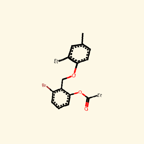 CCC(=O)Oc1cccc(Br)c1COc1ccc(C)cc1CC